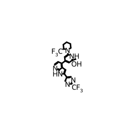 CC1(O)C=C(c2ccnc3[nH]c(-c4cnc(C(F)(F)F)nc4)cc23)C=C(N2CCCCC2C(F)(F)F)N1